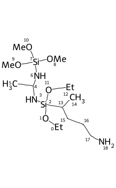 CCO[Si](NC(C)N[Si](OC)(OC)OC)(OCC)C(C)CCCN